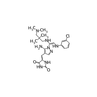 CN(C)CC(C)(C)CN/C(=C/Nc1cccc(Cl)c1)n1ncc(/C=C2\NC(=O)NC2=O)c1N